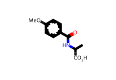 COc1ccc(C(=O)NC(C)C(=O)O)cc1